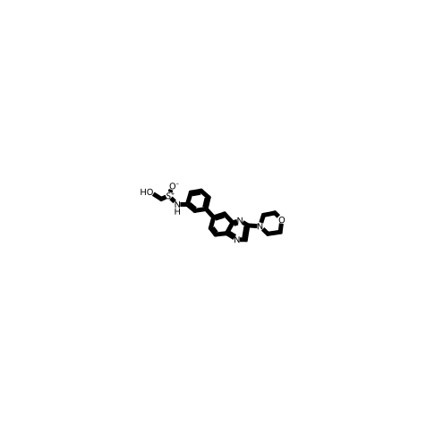 [O-][S+](CO)Nc1cccc(-c2ccc3ncc(N4CCOCC4)nc3c2)c1